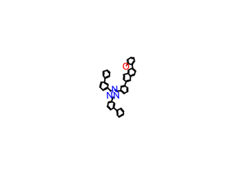 c1ccc(-c2cccc(-c3nc(-c4cccc(-c5ccccc5)c4)nc(-c4cccc(-c5ccc6c(ccc7c8ccccc8oc67)c5)c4)n3)c2)cc1